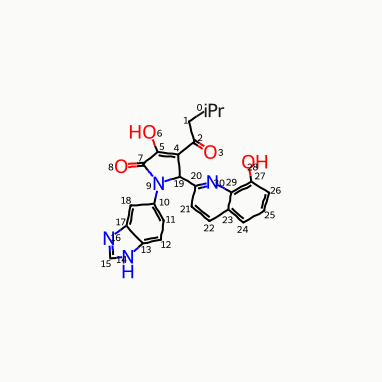 CC(C)CC(=O)C1=C(O)C(=O)N(c2ccc3[nH]cnc3c2)C1c1ccc2cccc(O)c2n1